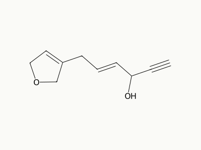 C#CC(O)C=CCC1=CCOC1